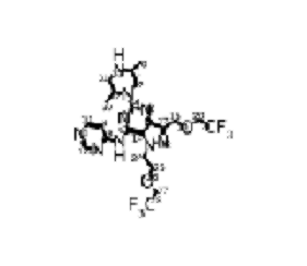 CC1CN(c2nc(Nc3ccncn3)c3c(n2)c(COCC(F)(F)F)nn3CCOCC(F)(F)F)C(C)CN1